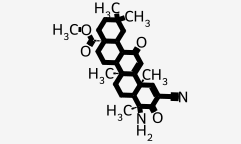 COC(=O)[C@@]12CCC3C(C(=O)C=C4[C@@]5(C)C=C(C#N)C(=O)[C@@](C)(N)C5CC[C@]43C)C1CC(C)(C)CC2